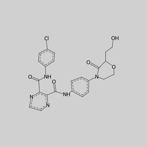 O=C(Nc1ccc(Cl)cc1)c1nccnc1C(=O)Nc1ccc(N2CCOC(CCO)C2=O)cc1